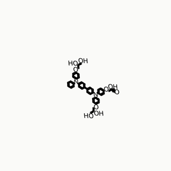 OCC(O)COc1ccc(N(c2ccccc2)c2ccc(-c3ccc(N(c4ccc(OCC(O)CO)cc4)c4ccc(OCC5(O)C6OC65)cc4)cc3)cc2)cc1